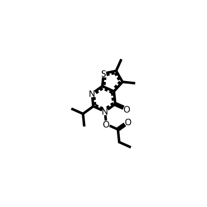 CCC(=O)On1c(C(C)C)nc2sc(C)c(C)c2c1=O